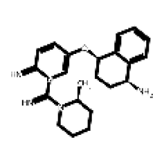 C[C@H]1CCCCN1C(=N)n1cc(O[C@@H]2CC[C@H](N)c3ccccc32)ccc1=N